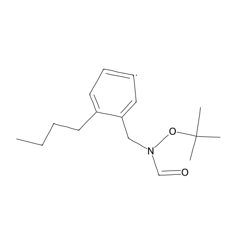 CCCCc1cc[c]cc1CN(C=O)OC(C)(C)C